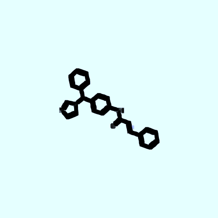 O=C(/C=C/c1ccccc1)Nc1ccc(C(c2ccccc2)n2ccnc2)cc1